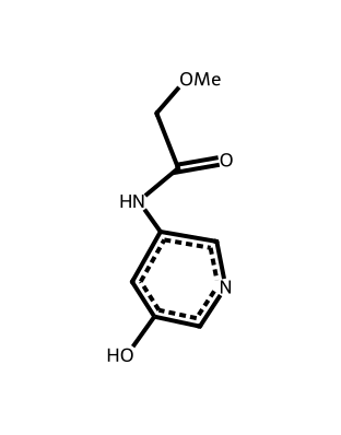 COCC(=O)Nc1cncc(O)c1